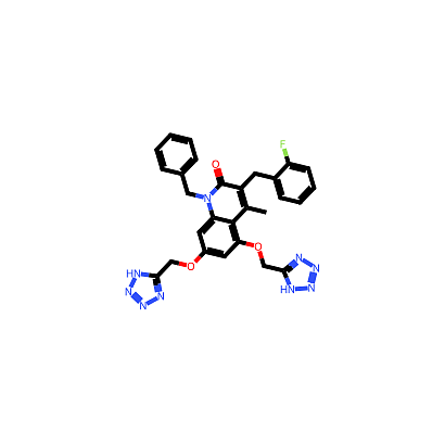 Cc1c(Cc2ccccc2F)c(=O)n(Cc2ccccc2)c2cc(OCc3nnn[nH]3)cc(OCc3nnn[nH]3)c12